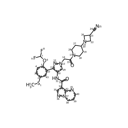 CSc1ccc(OC(F)F)c(-c2nn(CC(=O)N3CCC(N4CC(C#N)C4)CC3)cc2NC(=O)c2cnn3cccnc23)c1